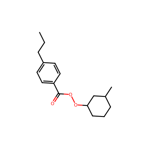 CCCc1ccc(C(=O)OO[C]2CCCC(C)C2)cc1